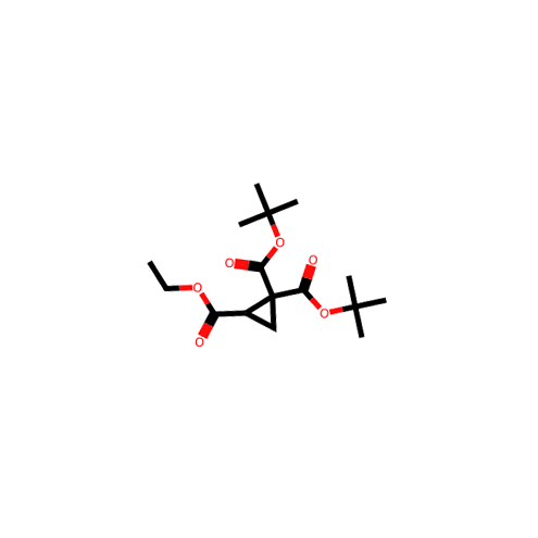 CCOC(=O)C1CC1(C(=O)OC(C)(C)C)C(=O)OC(C)(C)C